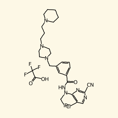 CC(C)CN(NC(=O)c1cccc(CN2CCN(CCCN3CCCCC3)CC2)c1)c1nc(C#N)ncc1Cl.O=C(O)C(F)(F)F